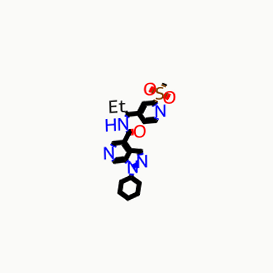 CC[C@H](NC(=O)c1cncc2c1cnn2C1CCCCC1)c1ccnc(S(C)(=O)=O)c1